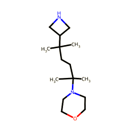 CC(C)(CCC(C)(C)N1CCOCC1)C1CNC1